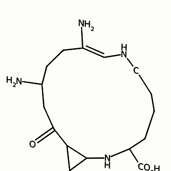 N/C1=C\NCCCCC(C(=O)O)NC2CC2C(=O)CC(N)CC1